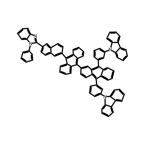 c1ccc(-n2c(-c3ccc4cc(-c5c6ccccc6c(-c6ccc7c(-c8cccc(-n9c%10ccccc%10c%10ccccc%109)c8)c8ccccc8c(-c8cccc(-n9c%10ccccc%10c%10ccccc%109)c8)c7c6)c6ccccc56)ccc4c3)nc3ccccc32)cc1